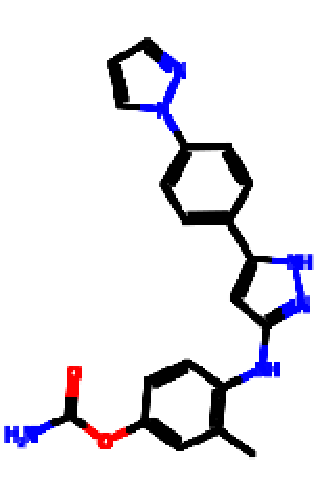 Cc1cc(OC(N)=O)ccc1Nc1cc(-c2ccc(-n3cccn3)cc2)[nH]n1